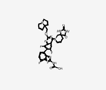 O=C(O)Nc1nc2c(-c3c(F)cc4c(N5CCCC6(C5)NC(=O)NC6=O)nc(OCC56CCCN5CCC6)nc4c3F)ccc(F)c2s1